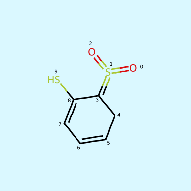 O=S(=O)=C1CC=CC=C1S